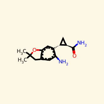 CC1(C)Cc2cc(N)c([C@@H]3C[C@H]3C(N)=O)cc2O1